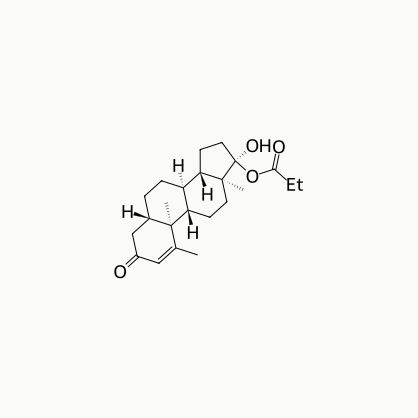 CCC(=O)O[C@]1(O)CC[C@H]2[C@@H]3CC[C@H]4CC(=O)C=C(C)[C@]4(C)[C@H]3CC[C@@]21C